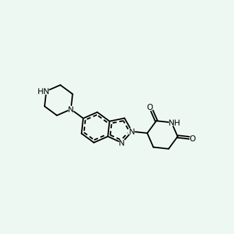 O=C1CCC(n2cc3cc(N4CCNCC4)ccc3n2)C(=O)N1